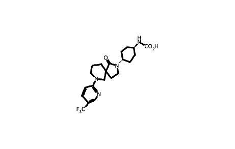 O=C(O)N[C@H]1CC[C@H](N2CCC3(CCCN(c4ccc(C(F)(F)F)cn4)C3)C2=O)CC1